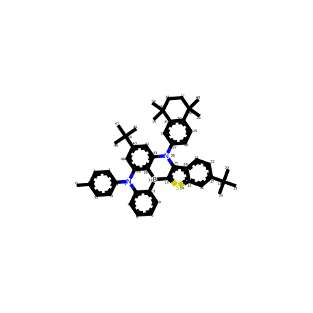 Cc1ccc(N2c3ccccc3B3c4sc5cc(C(C)(C)C)ccc5c4N(c4ccc5c(c4)C(C)(C)CCC5(C)C)c4cc(C(C)(C)C)cc2c43)cc1